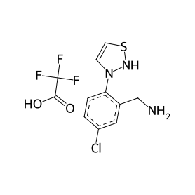 NCc1cc(Cl)ccc1N1C=CSN1.O=C(O)C(F)(F)F